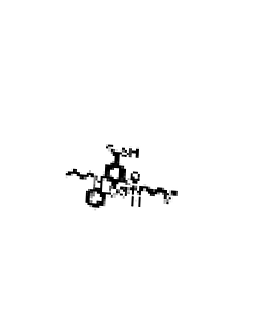 CCCCNc1cc(C(=S)S)cc(S(=O)(=O)NCCCN(C)C)c1Oc1ccccc1